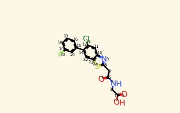 O=C(O)CNC(=O)Cc1nc2cc(Cl)c(-c3cccc(F)c3)cc2s1